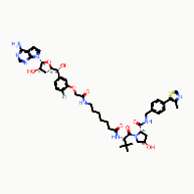 Cc1ncsc1-c1ccc(CNC(=O)[C@@H]2C[C@@H](O)CN2C(=O)[C@@H](NC(=O)CCCCCCNC(=O)COc2cc([C@@H](O)[C@@H]3C[C@@H](O)[C@H](n4ccc5c(N)ncnc54)O3)ccc2Cl)C(C)(C)C)cc1